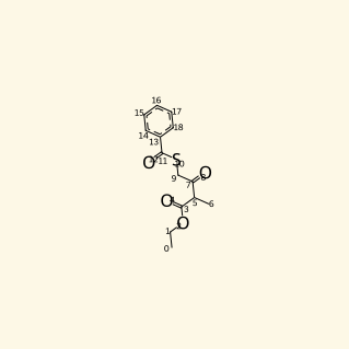 CCOC(=O)C(C)C(=O)CSC(=O)c1ccccc1